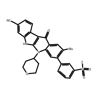 CCCCc1cc2c(=O)c3c4ccc(C#N)cc4[nH]c3n(C3CCOCC3)c2cc1-c1cccc(S(=O)(=O)F)c1